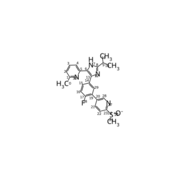 Cc1cccc(-c2[nH]c(C(C)C)nc2-c2ccc(F)c(-c3ccc([S+](C)[O-])nc3)c2)n1